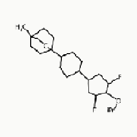 CC(C)OC1C(F)CC(C2CCC(C34CCC(C)(CC3)CC4)CC2)CC1F